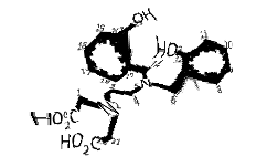 O=C(O)CN(CCN(Cc1ccccc1O)Cc1ccccc1O)CC(=O)O